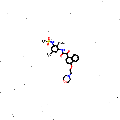 COc1c(NC(=O)C(=O)c2ccc(OCCN3CCOCC3)c3ccccc23)cc(C(F)(F)F)cc1NS(C)(=O)=O